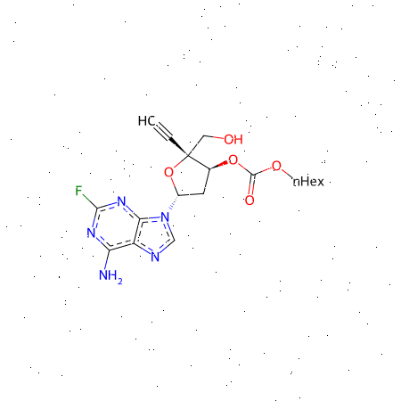 C#C[C@]1(CO)O[C@@H](n2cnc3c(N)nc(F)nc32)C[C@@H]1OC(=O)OCCCCCC